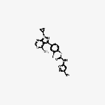 CC(C)c1cc(NC(=O)Nc2ccc(-c3nn(C4CC4)c4ncnc(N)c34)cc2F)on1